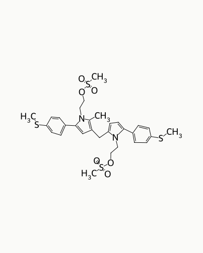 CSc1ccc(-c2ccc(Cc3cc(-c4ccc(SC)cc4)n(CCOS(C)(=O)=O)c3C)n2CCOS(C)(=O)=O)cc1